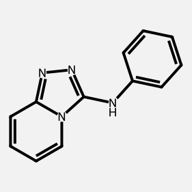 c1ccc(Nc2nnc3ccccn23)cc1